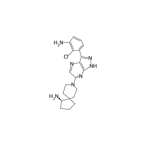 Nc1cccc(-c2n[nH]c3nc(N4CCC5(CCC[C@H]5N)CC4)cnc23)c1Cl